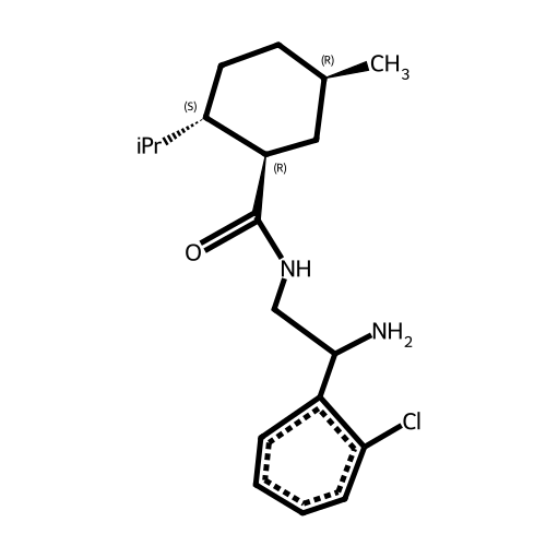 CC(C)[C@@H]1CC[C@@H](C)C[C@H]1C(=O)NCC(N)c1ccccc1Cl